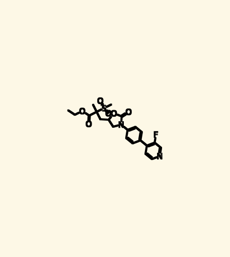 CCOC(=O)C(C)(CC1CN(c2ccc(-c3ccncc3F)cc2)C(=O)O1)S(C)(=O)=O